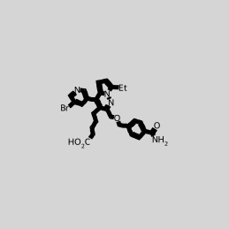 CCc1ccc2c(-c3cncc(Br)c3)c(CCCCC(=O)O)c(COCc3ccc(C(N)=O)cc3)nn12